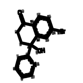 O=C1CCC(O)(c2ccccn2)c2cc(Br)ccc21